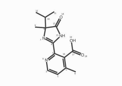 Cc1ccnc(C2=NC(C)(C(C)C)C(=O)N2)c1C(=O)O